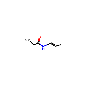 C/C=C/NC(=O)CCCC